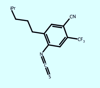 CC(C)CCCc1cc(C#N)c(C(F)(F)F)cc1N=C=S